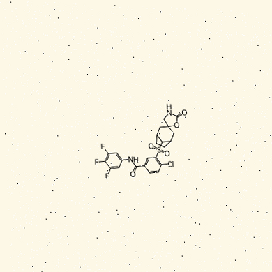 O=C1NCC2(CC3CCC(C2)C3S(=O)(=O)c2cc(C(=O)Nc3cc(F)c(F)c(F)c3)ccc2Cl)O1